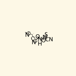 Cc1ccc([C@H](C)c2ccc3nccc(C(=O)NCC(=O)N4CSC[C@H]4C#N)c3c2)cn1